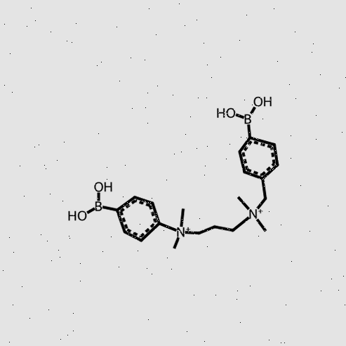 C[N+](C)(CCC[N+](C)(C)c1ccc(B(O)O)cc1)Cc1ccc(B(O)O)cc1